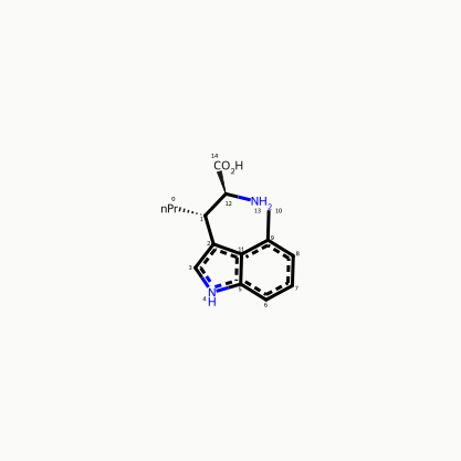 CCC[C@@H](c1c[nH]c2cccc(C)c12)[C@H](N)C(=O)O